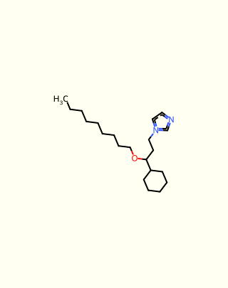 CCCCCCCCCOC(CCn1ccnc1)C1CCCCC1